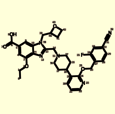 CCOc1cc(C(=O)O)cc2c1nc(CN1CCC(c3cccnc3OCc3ccc(C#N)cc3F)CC1)n2CC1CCO1